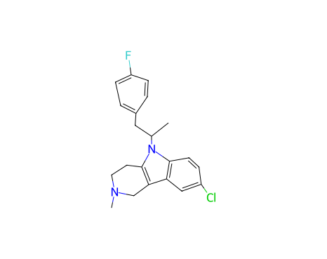 CC(Cc1ccc(F)cc1)n1c2c(c3cc(Cl)ccc31)CN(C)CC2